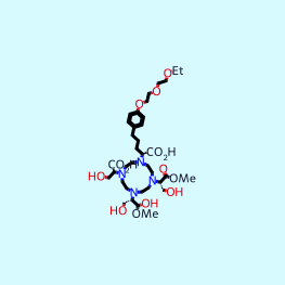 CCOCCOCCOc1ccc(CCC[C@@H](C(=O)O)N2CCN([C@@H](CO)C(=O)O)CCN([C@@H](CO)C(O)OC)CCN([C@@H](CO)C(=O)OC)CC2)cc1